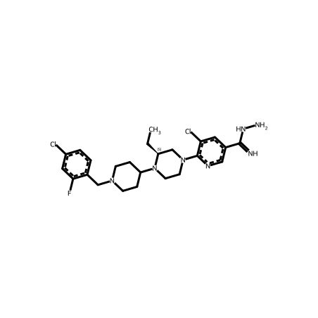 CC[C@H]1CN(c2ncc(C(=N)NN)cc2Cl)CCN1C1CCN(Cc2ccc(Cl)cc2F)CC1